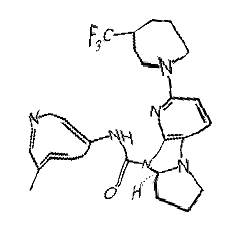 Cc1cncc(NC(=O)N2c3nc(N4CCCC(C(F)(F)F)C4)ccc3N3CCC[C@H]32)c1